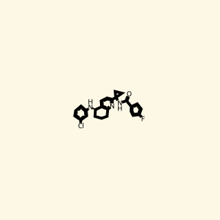 O=C(NC1(c2ccc3c(n2)CCC[C@H]3Nc2cccc(Cl)c2)CC1)c1ccc(F)cc1